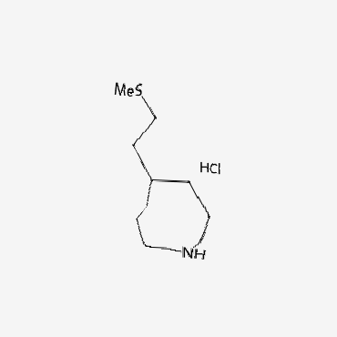 CSCCC1CCNCC1.Cl